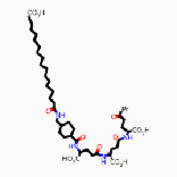 CC(C)C(=O)CCC(NC(=O)CC[C@H](NC(=O)CCC(NC(=O)C1CCC(CNC(=O)CCCCCCCCCCCCCCCCC(=O)O)CC1)C(=O)O)C(=O)O)C(=O)O